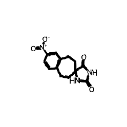 O=C1NC(=O)C2(CCc3ccc([N+](=O)[O-])cc3CC2)N1